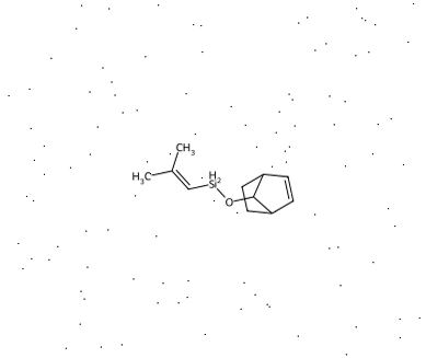 CC(C)=C[SiH2]OC1C2C=CC1CC2